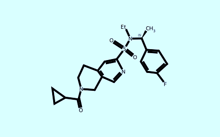 CCN([C@@H](C)c1ccc(F)cc1)S(=O)(=O)c1cc2c(cn1)CN(C(=O)C1CC1)CC2